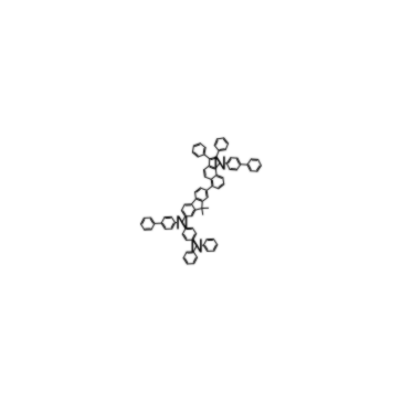 CC1(C)c2cc(-c3cccc4c3ccc3c(-c5ccccc5)c(-c5ccccc5)n(-c5ccc(-c6ccccc6)cc5)c34)ccc2-c2ccc(N(c3ccc(-c4ccccc4)cc3)c3ccc(N(c4ccccc4)c4ccccc4)cc3)cc21